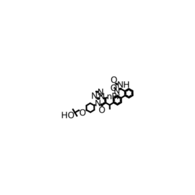 CCCc1c(C(C)c2ccc(-c3ccccc3-c3noc(=O)[nH]3)cc2)c(=O)n(C2CCC(OCC(C)(C)O)CC2)c2ncnn12